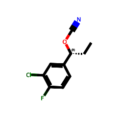 CC[C@@H](OC#N)c1ccc(F)c(Cl)c1